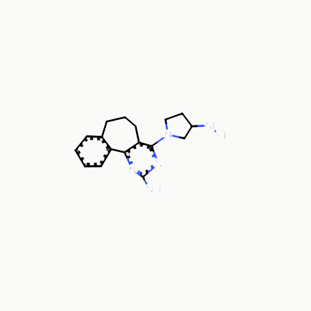 CNC1CCN(c2nc(N)nc3c2CCCc2ccccc2-3)C1